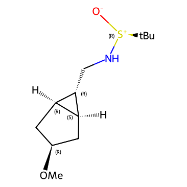 CO[C@@H]1C[C@@H]2[C@@H](CN[S@@+]([O-])C(C)(C)C)[C@@H]2C1